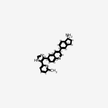 Cc1cccc(-c2[nH]cnc2-c2ccc3ncc(-c4ccc5c(c4)CC[C@H]5N)cc3c2)n1